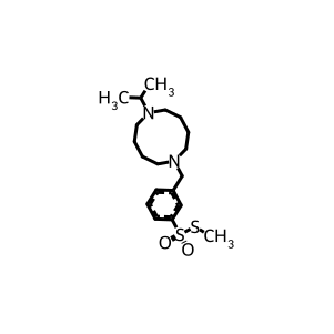 CSS(=O)(=O)c1cccc(CN2CCCCN(C(C)C)CCCC2)c1